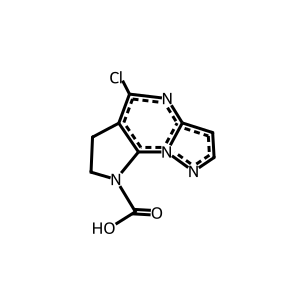 O=C(O)N1CCc2c(Cl)nc3ccnn3c21